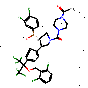 CC(=O)N1CCN(C(=O)N2CC(c3ccc(C(OCc4c(F)cccc4F)(C(F)(F)F)C(F)(F)F)cc3)[C@H]([S+]([O-])c3ccc(F)c(Br)c3)C2)CC1